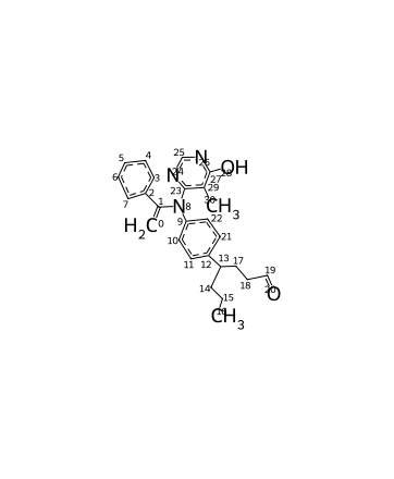 C=C(c1ccccc1)N(c1ccc(C(CCC)CCC=O)cc1)c1ncnc(O)c1C